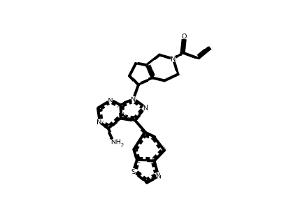 C=CC(=O)N1CCC2=C(CCC2n2nc(-c3ccc4ncsc4c3)c3c(N)ncnc32)C1